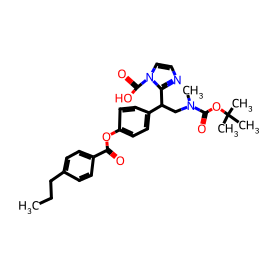 CCCc1ccc(C(=O)Oc2ccc(C(CN(C)C(=O)OC(C)(C)C)c3nccn3C(=O)O)cc2)cc1